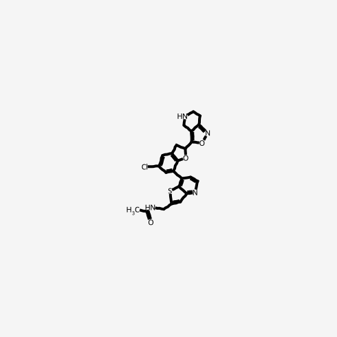 CC(=O)NCc1cc2nccc(-c3cc(Cl)cc4c3OC(c3onc5c3CNCC5)C4)c2s1